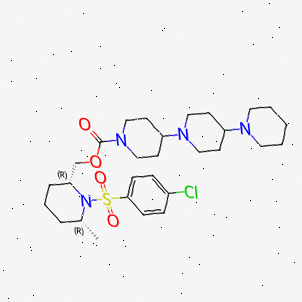 C[C@@H]1CCC[C@H](COC(=O)N2CCC(N3CCC(N4CCCCC4)CC3)CC2)N1S(=O)(=O)c1ccc(Cl)cc1